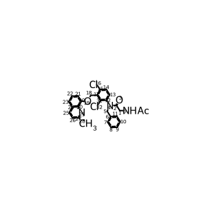 CC(=O)NCC(=O)N(Cc1ccccc1)c1ccc(Cl)c(COc2cccc3ccc(C)nc23)c1Cl